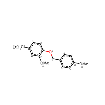 CCOC(=O)c1ccc(OCc2ccc(OC)cc2)c(OC)c1